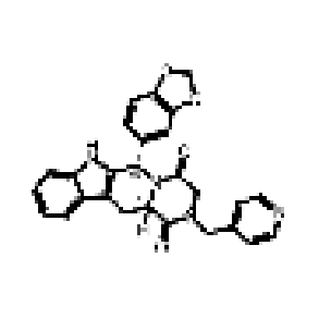 O=C1[C@@H]2Cc3c([nH]c4ccccc34)[C@H](c3ccc4c(c3)OCO4)N2C(=O)CN1Cc1ccncc1